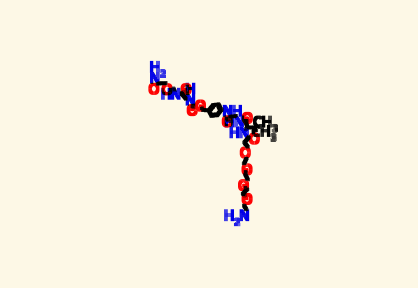 CC(C)C(NC(=O)CCOCCOCCOCCOCCN)C(=O)NCC(=O)Nc1ccc(COC(=O)NCC(=O)NCOCC(N)=O)cc1